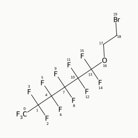 FC(F)(F)C(F)(F)C(F)(F)C(F)(F)C(F)(F)C(F)(F)OCCBr